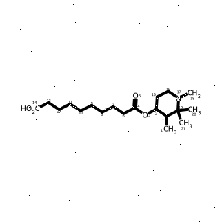 CC1C(OC(=O)CCCCCCCCC(=O)O)CCN(C)C1(C)C